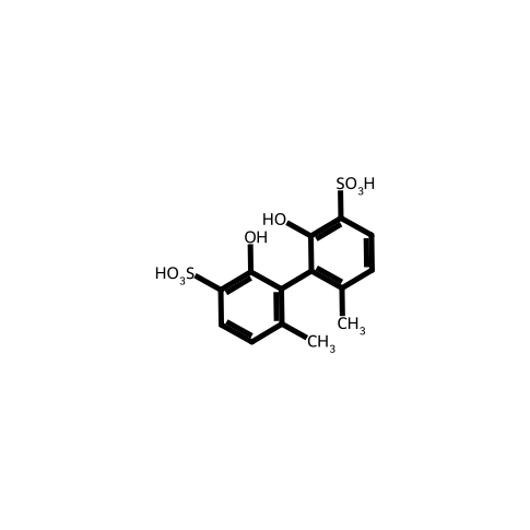 Cc1ccc(S(=O)(=O)O)c(O)c1-c1c(C)ccc(S(=O)(=O)O)c1O